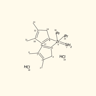 CC1=C(C)C[C]([Zr](=[SiH2])([C]2=CC(C)=C(C)C2)([CH](C)C)[CH](C)C)=C1.Cl.Cl